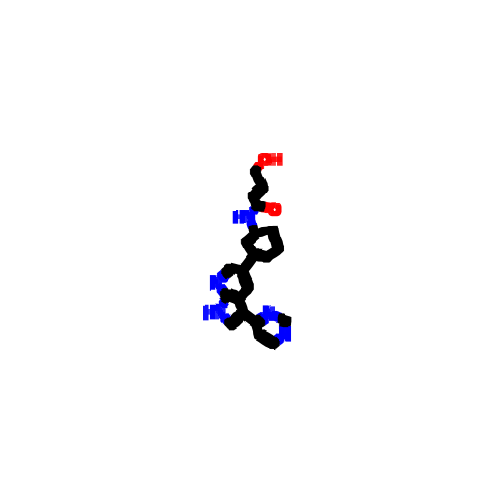 O=C(C=CCO)Nc1cccc(-c2cnc3[nH]cc(-c4ccncn4)c3c2)c1